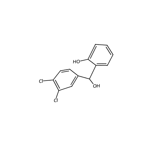 Oc1ccccc1C(O)c1ccc(Cl)c(Cl)c1